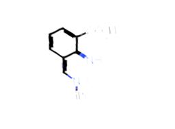 CC(C)N/C=C1/C=CC=C(C(=O)O)C1=N